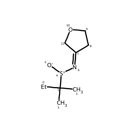 CCC(C)(C)[S+]([O-])/N=C1/CCOC1